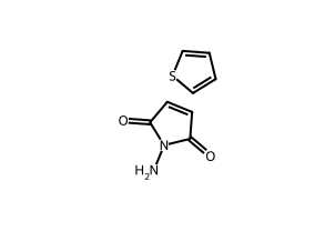 NN1C(=O)C=CC1=O.c1ccsc1